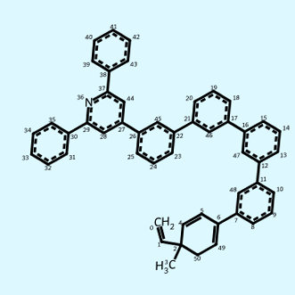 C=CC1(C)C=CC(c2cccc(-c3cccc(-c4cccc(-c5cccc(-c6cc(-c7ccccc7)nc(-c7ccccc7)c6)c5)c4)c3)c2)=CC1